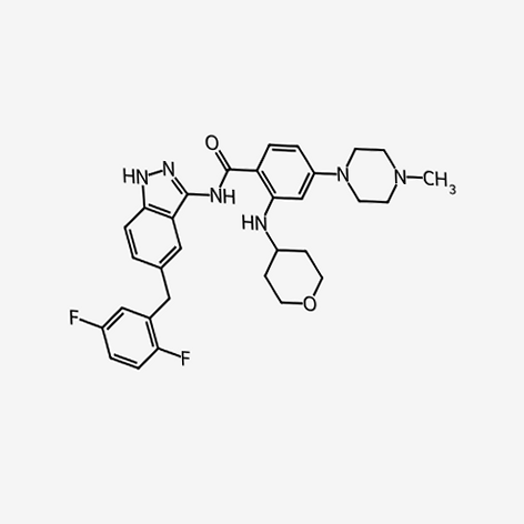 CN1CCN(c2ccc(C(=O)Nc3n[nH]c4ccc(Cc5cc(F)ccc5F)cc34)c(NC3CCOCC3)c2)CC1